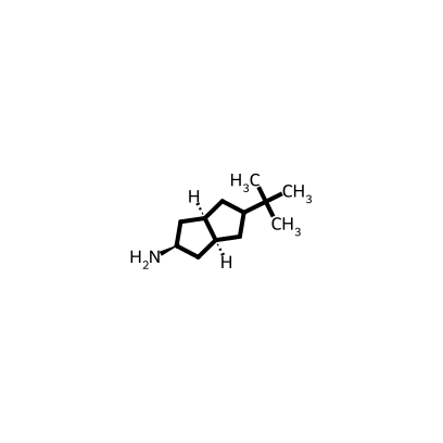 CC(C)(C)C1C[C@@H]2C[C@H](N)C[C@@H]2C1